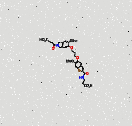 COc1cc2c(cc1OCCCOc1cc3cc(C(=O)NCCC(=O)O)sc3cc1OC)CN(C(=O)CCC(=O)O)C2